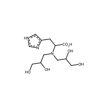 O=C(O)C(Cc1c[nH]cn1)N(CC(O)CO)CC(O)CO